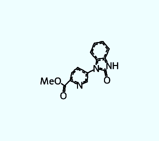 COC(=O)c1ccc(-n2c(=O)[nH]c3ccccc32)cn1